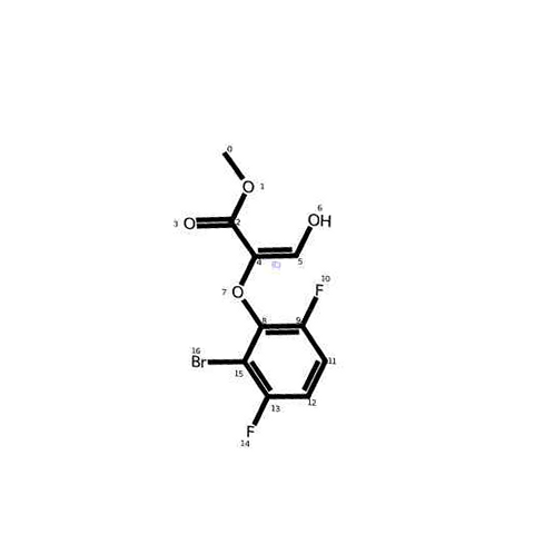 COC(=O)/C(=C\O)Oc1c(F)ccc(F)c1Br